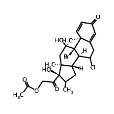 CC(=O)OCC(=O)[C@@]1(O)C(C)C[C@H]2[C@@H]3C(Cl)CC4=CC(=O)C=C[C@]4(C)[C@@]3(Br)C(O)C[C@@]21C